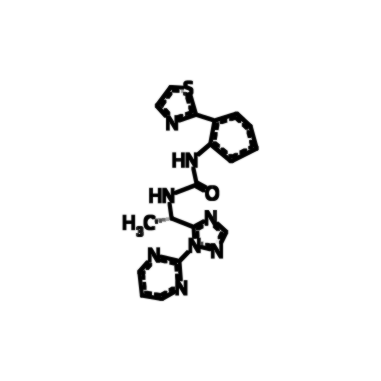 C[C@H](NC(=O)Nc1ccccc1-c1nccs1)c1ncnn1-c1ncccn1